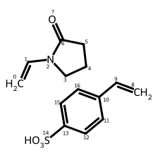 C=CN1CCCC1=O.C=Cc1ccc(S(=O)(=O)O)cc1